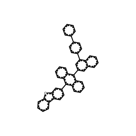 c1ccc(-c2ccc(-c3cc(-c4c5ccccc5c(-c5ccc6c(c5)oc5ccccc56)c5ccccc45)cc4ccccc34)cc2)cc1